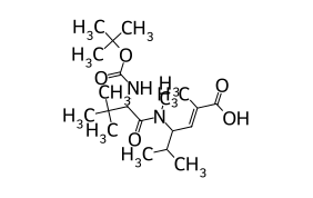 CC(=CC(C(C)C)N(C)C(=O)[C@@H](NC(=O)OC(C)(C)C)C(C)(C)C)C(=O)O